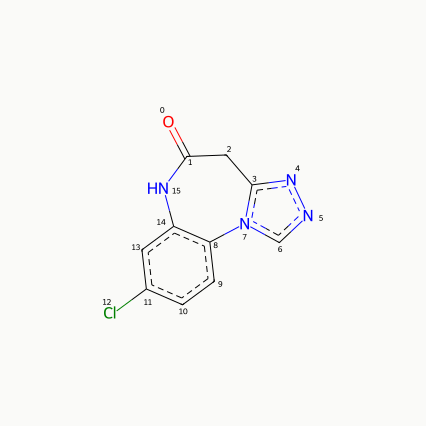 O=C1Cc2nncn2-c2ccc(Cl)cc2N1